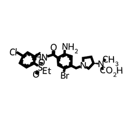 CCS(=O)(=O)c1ccc(Cl)cc1CNC(=O)c1cc(Br)c(CN2CC[C@@H](N(C)C(=O)O)C2)cc1N